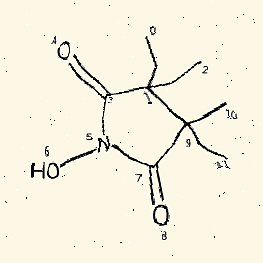 CC1(C)C(=O)N(O)C(=O)C1(C)C